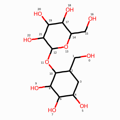 OCC1CC(O)C(O)C(O)C1OC1OC(CO)C(O)C(O)C1O